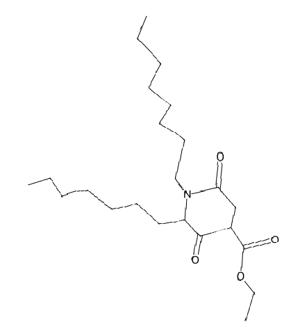 CCCCCCCCN1C(=O)CC(C(=O)OCC)C(=O)C1CCCCCCC